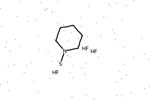 F.F.F.[S]N1CCCCC1